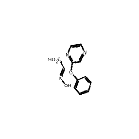 O=C(O)C=NO.c1ccc(Oc2cnccn2)cc1